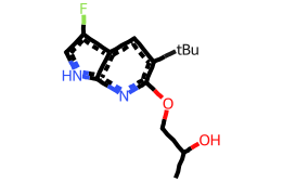 CC(O)COc1nc2[nH]cc(F)c2cc1C(C)(C)C